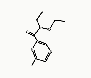 CCON(CC)C(=O)c1cncc(C)n1